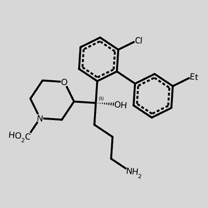 CCc1cccc(-c2c(Cl)cccc2[C@@](O)(CCCN)C2CN(C(=O)O)CCO2)c1